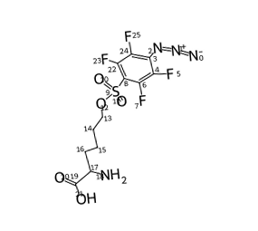 [N-]=[N+]=Nc1c(F)c(F)c(S(=O)(=O)OCCCCC(N)C(=O)O)c(F)c1F